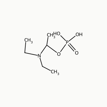 CCN(CC)C(C)OP(=O)(O)O